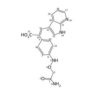 NC(=O)CONc1ccc(C(=Cc2c[nH]c3ncccc23)C(=O)O)cc1